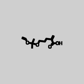 C=COC(C)(C)OCCCC(=C)C(=O)O